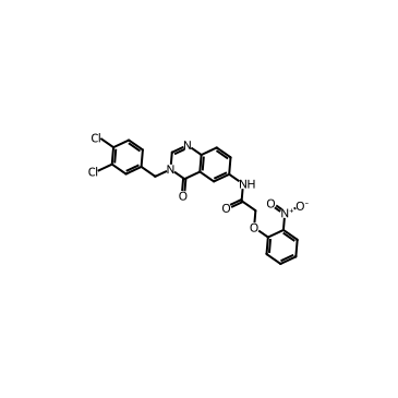 O=C(COc1ccccc1[N+](=O)[O-])Nc1ccc2ncn(Cc3ccc(Cl)c(Cl)c3)c(=O)c2c1